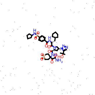 CC(C)(O)c1cnnn1[C@@H]1C[C@@H](C(=O)NC2(C(=O)C(N)=O)CCS(=O)(=O)CC2)N(C(=O)[C@@H](CC2CCCCC2)NC(=O)c2ccc(S(=O)(=O)NC3CCCC3)cc2)C1